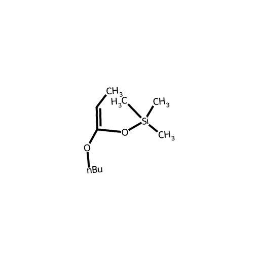 CC=C(OCCCC)O[Si](C)(C)C